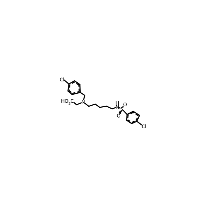 O=C(O)CN(CCCCCNS(=O)(=O)c1ccc(Cl)cc1)Cc1ccc(Cl)cc1